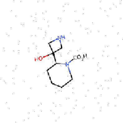 O=C(O)N1CCCC[C@H]1C1(O)CNC1